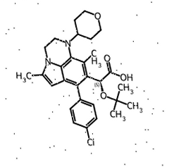 Cc1c([C@H](OC(C)(C)C)C(=O)O)c(-c2ccc(Cl)cc2)c2cc(C)n3c2c1N(C1CCOCC1)CC3